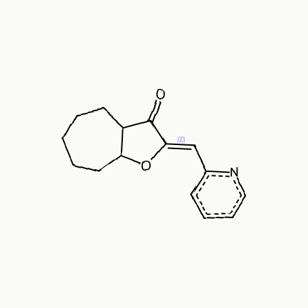 O=C1/C(=C/c2ccccn2)OC2CCCCCC12